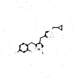 Cn1cc(Cc2cn(CC3CC3)nn2)c(Cc2ccc(F)cc2Br)n1